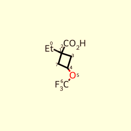 CCC1(C(=O)O)CC(OC(F)(F)F)C1